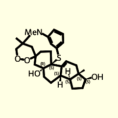 CNc1cccc(S[C@]23CCC4(CC(C)(C)COO4)C[C@]2(O)CC[C@@H]2C3=CC[C@]3(C)[C@@H](O)CC[C@@H]23)c1